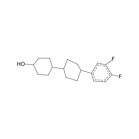 OC1CCC(C2CCC(c3ccc(F)c(F)c3)CC2)CC1